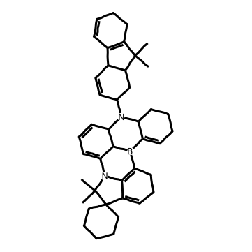 CC1(C)C2=C(C=CCC2)C2C=CC(N3C4CCCC=C4B4C5=C6C(=CCC5)C5(CCCCC5)C(C)(C)N6C5=CC=CC3C45)CC21